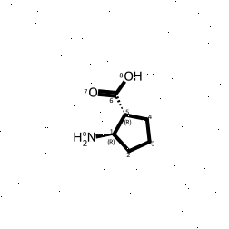 N[C@@H]1CCC[C@H]1C(=O)O